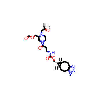 BC(=O)CN1CCN(C(=O)CCNC(=O)OC[C@@H]2[C@@H]3CCc4nnn(C)c4CC[C@@H]32)CC1COC=O